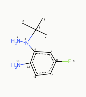 CC(C)(C)N(N)c1cc(F)ccc1N